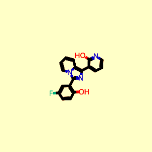 Oc1ccc(F)cc1-c1nc(-c2cccnc2O)c2ccccn12